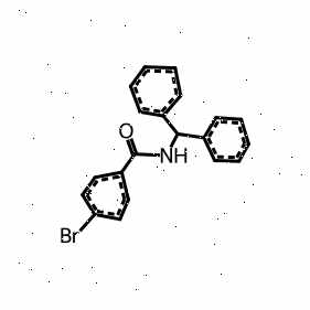 O=C(NC(c1ccccc1)c1ccccc1)c1ccc(Br)cc1